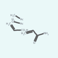 C=CC(=O)O.C=CC(N)=O.CC(C)=O.CC(C)=O